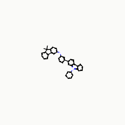 CC1(C)c2ccccc2-c2cc(Nc3cccc(-c4ccc5c6ccccc6n(-c6ccccc6)c5c4)c3)ccc21